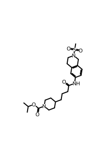 CC(C)OC(=O)N1CCC(CCCC(=O)Nc2ccc3c(c2)CCN(S(C)(=O)=O)C3)CC1